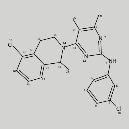 Cc1nc(Nc2cccc(Cl)c2)nc(N2CCc3c(Cl)cccc3C2C)c1C